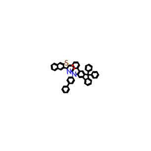 c1ccc(-c2ccc(N(c3ccc4sc5cc6ccccc6cc5c4n3)c3cc4c(cc3-c3ccccc3)C(c3ccccc3)(c3ccccc3)c3ccccc3-4)cc2)cc1